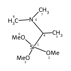 CO[Si](OC)(OC)C(C)N(C)C